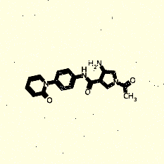 CC(=O)N1CC(N)C(C(=O)Nc2ccc(-n3ccccc3=O)cc2)C1